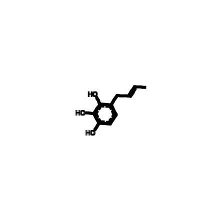 CC=CCc1ccc(O)c(O)c1O